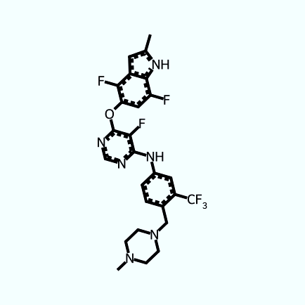 Cc1cc2c(F)c(Oc3ncnc(Nc4ccc(CN5CCN(C)CC5)c(C(F)(F)F)c4)c3F)cc(F)c2[nH]1